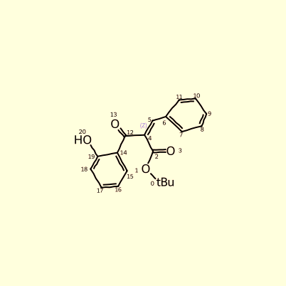 CC(C)(C)OC(=O)/C(=C\c1ccccc1)C(=O)c1ccccc1O